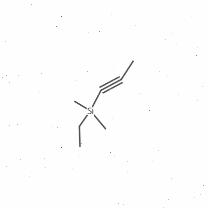 CC#C[Si](C)(C)CC